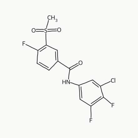 CS(=O)(=O)c1cc(C(=O)Nc2cc(F)c(F)c(Cl)c2)ccc1F